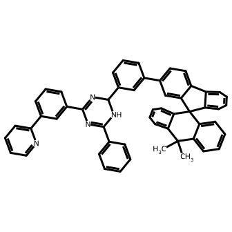 CC1(C)c2ccccc2C2(c3ccccc3-c3ccc(-c4cccc(C5N=C(c6cccc(-c7ccccn7)c6)N=C(c6ccccc6)N5)c4)cc32)c2ccccc21